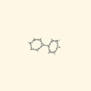 [c]1cc(-c2cc[c]nc2)ccn1